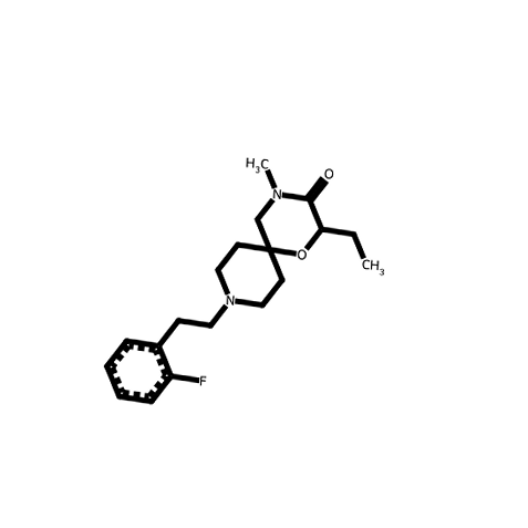 CCC1OC2(CCN(CCc3ccccc3F)CC2)CN(C)C1=O